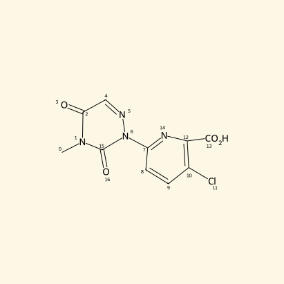 Cn1c(=O)cnn(-c2ccc(Cl)c(C(=O)O)n2)c1=O